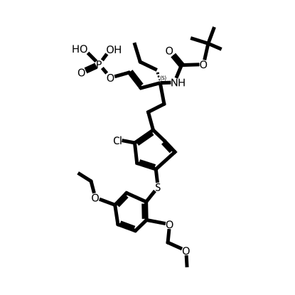 CCC[C@@](C=COP(=O)(O)O)(CCc1ccc(Sc2cc(OCC)ccc2OCOC)cc1Cl)NC(=O)OC(C)(C)C